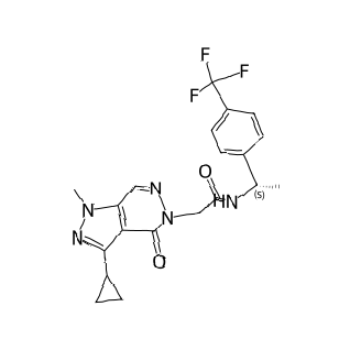 C[C@H](NC(=O)Cn1ncc2c(c(C3CC3)nn2C)c1=O)c1ccc(C(F)(F)F)cc1